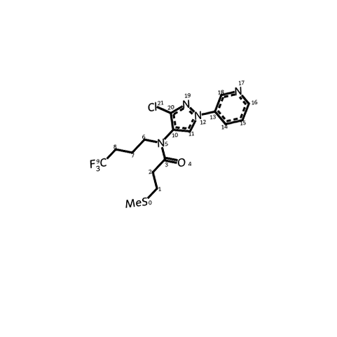 CSCCC(=O)N(CCCC(F)(F)F)c1cn(-c2cccnc2)nc1Cl